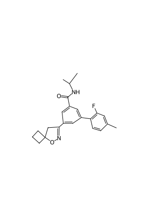 Cc1ccc(-c2cc(C(=O)NC(C)C)cc(C3=NOC4(CCC4)C3)c2)c(F)c1